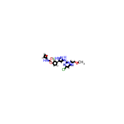 COCc1cn2c(Nc3cc([C@H]4CC[C@@H](OC(=O)NC56CC(C5)C6)[C@@H]4F)[nH]n3)nc(Cl)cc2n1